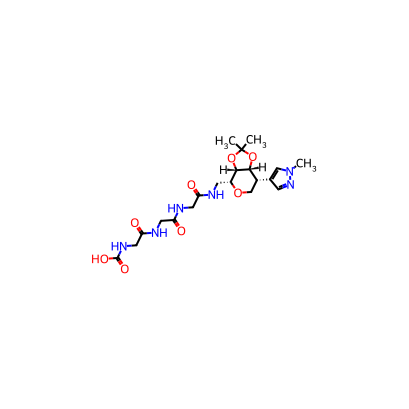 Cn1cc([C@@H]2CO[C@H](CNC(=O)CNC(=O)CNC(=O)CNC(=O)O)[C@@H]3OC(C)(C)O[C@@H]32)cn1